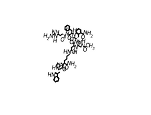 CN[C@@H](Cc1c[nH]c2ccccc12)C(=O)NC(CCCCNC(=O)CC(NC(=O)CNC(C)=O)C(=O)N[C@@H](Cc1ccccc1C(N)=O)C(=O)NC(Cc1ccccc1)C(=O)N[C@H](C=O)CCCNC(=N)N)C(N)=O